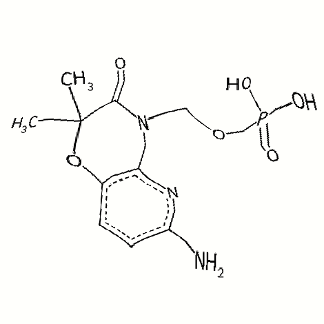 CC1(C)Oc2ccc(N)nc2N(COP(=O)(O)O)C1=O